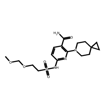 COCOCCS(=O)(=O)Nc1ccc(C(N)=O)c(N2CCC3(CC2)CC3)n1